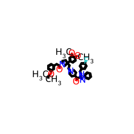 COc1ccc(C2(CCN3CCC(C(=O)c4nc5ccccc5n4Cc4ccc(F)cc4)CC3)CCN(C(=O)Cc3cccc(OC(C)C)c3)C2)cc1OC